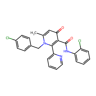 Cc1cc(=O)c(C(=O)Nc2ccccc2Cl)c(-c2ccccn2)n1Cc1ccc(Cl)cc1